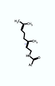 CC(=O)C(=O)NC/C=C(\C)CCC=C(C)C